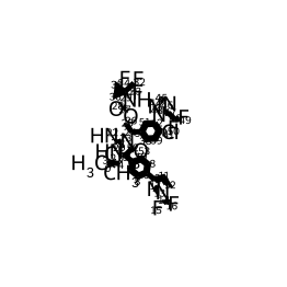 CC(C)(C)C[C@]1(c2ccc(-c3ccn(C(F)F)n3)cc2)NC(=N)N(C(COC(=O)NC2(C(F)(F)F)CC2)c2ccc(Cl)c(-n3ncnc3C(F)F)c2)C1=O